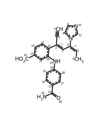 C#C/C(=C\C(=C/C)n1ccnc1)c1ccc(C(=O)O)cc1Nc1ccc(C(N)=O)cc1